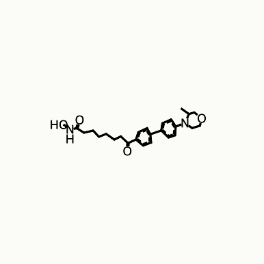 CC1COCCN1c1ccc(-c2ccc(C(=O)CCCCCCC(=O)NO)cc2)cc1